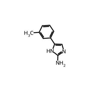 Cc1cccc(-c2cnc(N)[nH]2)c1